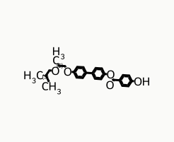 CC[C@H](C)CO[C@@H](C)COc1ccc(-c2ccc(OC(=O)c3ccc(O)cc3)cc2)cc1